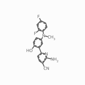 CN(c1ccc(O)c(-c2ccc(C#N)c(N)n2)c1)c1ccc(F)cc1F